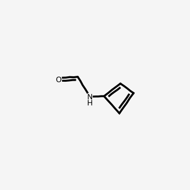 O=CNC1=CC=C1